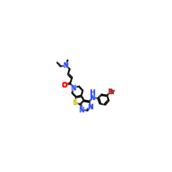 CCN(C)CC=CC(=O)N1CCc2c(sc3ncnc(Nc4cccc(Br)c4)c23)C1